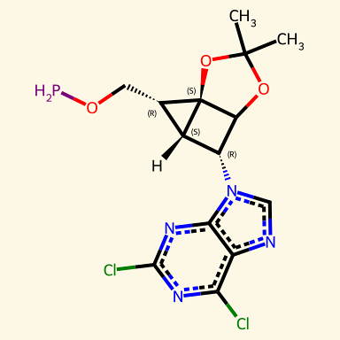 CC1(C)OC2[C@H](n3cnc4c(Cl)nc(Cl)nc43)[C@@H]3[C@H](COP)[C@]23O1